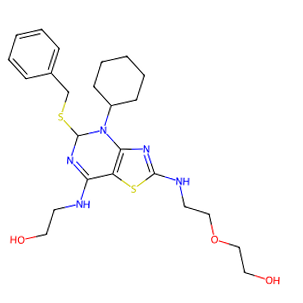 OCCNC1=NC(SCc2ccccc2)N(C2CCCCC2)c2nc(NCCOCCO)sc21